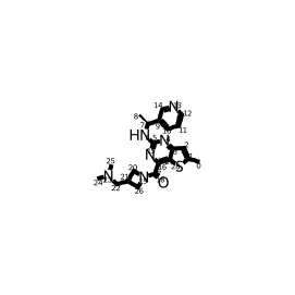 Cc1cc2nc(N[C@@H](C)c3cccnc3)nc(C(=O)N3CC(CN(C)C)C3)c2s1